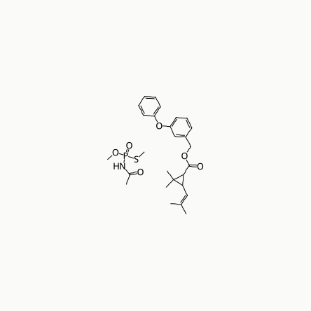 CC(C)=CC1C(C(=O)OCc2cccc(Oc3ccccc3)c2)C1(C)C.COP(=O)(NC(C)=O)SC